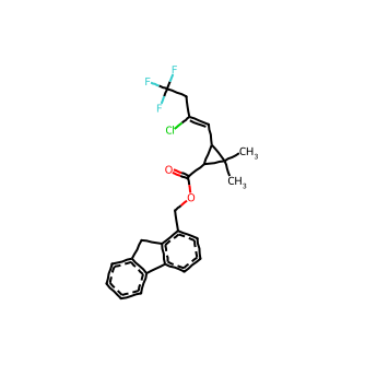 CC1(C)C(C=C(Cl)CC(F)(F)F)C1C(=O)OCc1cccc2c1Cc1ccccc1-2